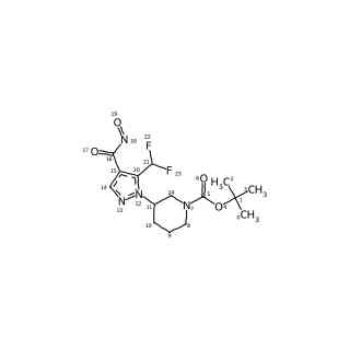 CC(C)(C)OC(=O)N1CCCC(n2ncc(C(=O)N=O)c2C(F)F)C1